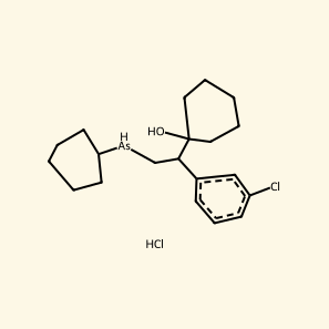 Cl.OC1(C(C[AsH]C2CCCCC2)c2cccc(Cl)c2)CCCCC1